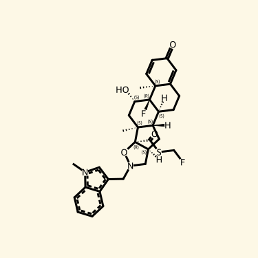 Cn1cc(CN2C[C@@H]3C[C@H]4[C@@H]5CCC6=CC(=O)C=C[C@]6(C)[C@@]5(F)[C@@H](O)C[C@]4(C)[C@]3(C(=O)SCF)O2)c2ccccc21